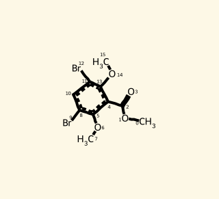 COC(=O)c1c(OC)c(Br)cc(Br)c1OC